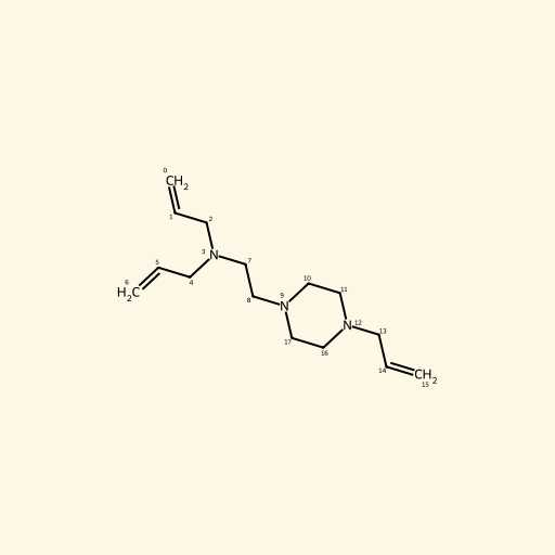 C=CCN(CC=C)CCN1CCN(CC=C)CC1